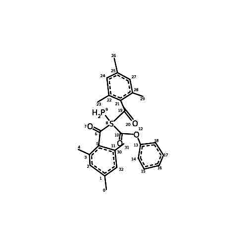 Cc1cc(C)c(C(=O)S(P)(C(=O)Oc2ccccc2)C(=O)c2c(C)cc(C)cc2C)c(C)c1